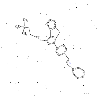 C[Si](C)(C)CCOCn1nc(-c2ccc(/C=C/c3ccccc3)cc2)c2c1-c1ccsc1C2